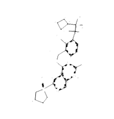 Cc1nc(N[C@H](C)c2cccc(C(F)(F)[C@@](C)(O)C3CCC3)c2F)c2cc(P3(=O)CCCC3)ncc2n1